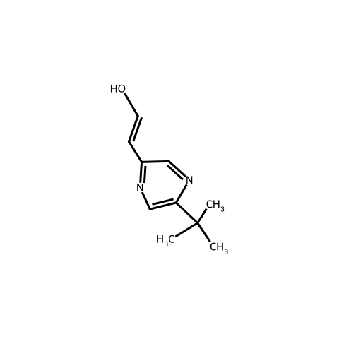 CC(C)(C)c1cnc(C=CO)cn1